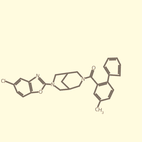 Cc1ccc(-c2ccccc2)c(C(=O)N2CC3CC(C2)CN(c2nc4cc(Cl)ccc4o2)C3)c1